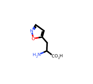 NC(Cc1ccno1)C(=O)O